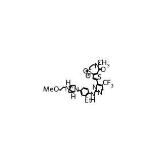 CCc1cc(N2C[C@H]3C[C@@H]2CN3CCOC)ccc1Nc1ncc(C(F)(F)F)c(-c2cc3c(s2)C(=O)N(C)CCS3(=O)=O)n1